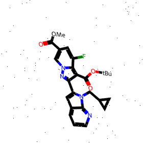 COC(=O)c1cc(F)c2c(C(=O)OC(C)(C)C)c(-c3cc4cccnc4n3CC3CC3)nn2c1